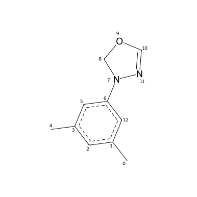 Cc1cc(C)cc(N2COC=N2)c1